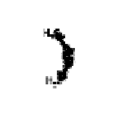 Cc1ccc(C#Cc2cc3ccc4c5ccc6cc(C#Cc7ccc(C)cc7)sc6c5ccc4c3s2)cc1